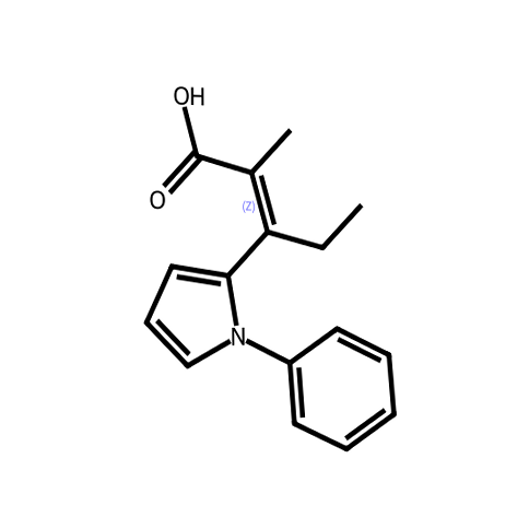 CC/C(=C(\C)C(=O)O)c1cccn1-c1ccccc1